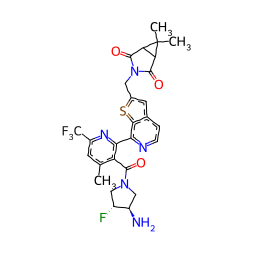 Cc1cc(C(F)(F)F)nc(-c2nccc3cc(CN4C(=O)C5C(C4=O)C5(C)C)sc23)c1C(=O)N1C[C@@H](N)[C@H](F)C1